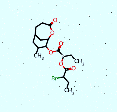 CCC(Br)C(=O)OC(CC)C(=O)OC1C(C)CC2CCC(=O)OC1C2